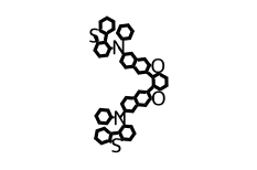 c1ccc(N(c2ccc3cc4c(cc3c2)oc2ccc3oc5cc6cc(N(c7ccccc7)c7cccc8sc9ccccc9c78)ccc6cc5c3c24)c2cccc3sc4ccccc4c23)cc1